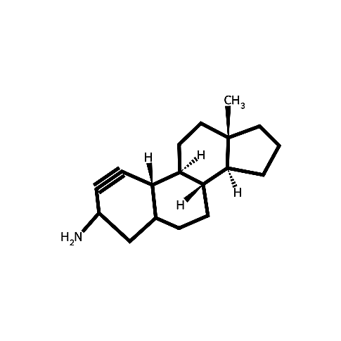 C[C@@]12CCC[C@H]1[C@@H]1CCC3CC(N)C#C[C@@H]3[C@H]1CC2